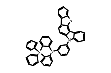 c1ccc([Si]2(c3ccccc3)c3ccccc3N(c3cccc(-n4c5ccccc5c5c6sc7ccccc7c6ccc54)c3)c3ccccc32)cc1